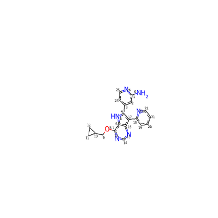 Nc1cc(-c2[nH]c3c(OCC4CC4)ncnc3c2-c2ccccn2)ccn1